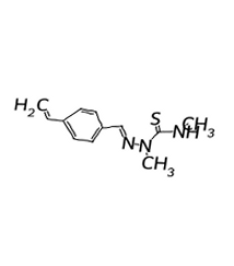 C=Cc1ccc(C=NN(C)C(=S)NC)cc1